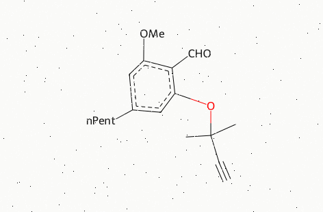 C#CC(C)(C)Oc1cc(CCCCC)cc(OC)c1C=O